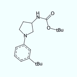 CC(C)(C)OC(=O)NC1CCN(c2cccc(C(C)(C)C)c2)C1